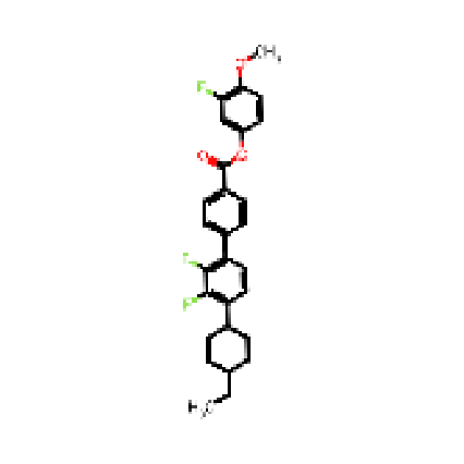 CCC1CCC(c2ccc(-c3ccc(C(=O)Oc4ccc(OC)c(F)c4)cc3)c(F)c2F)CC1